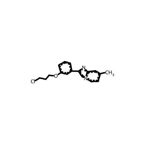 Cc1ccn2cc(-c3cccc(OCCCCl)c3)nc2c1